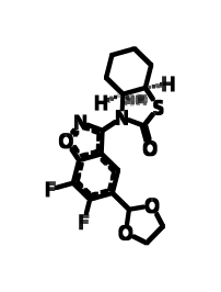 O=C1S[C@@H]2CCCC[C@@H]2N1c1noc2c(F)c(F)c(C3OCCO3)cc12